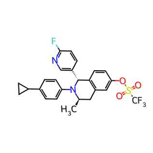 C[C@@H]1Cc2cc(OS(=O)(=O)C(F)(F)F)ccc2[C@@H](c2ccc(F)nc2)N1c1ccc(C2CC2)cc1